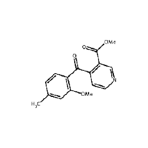 COC(=O)c1cnccc1C(=O)c1ccc(C)cc1OC